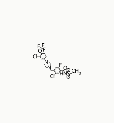 CCS(=O)(=O)NC(=O)c1cc(Cl)c(CN2CCN(c3ccc(OC(F)(F)F)c(Cl)c3)CC2)cc1F